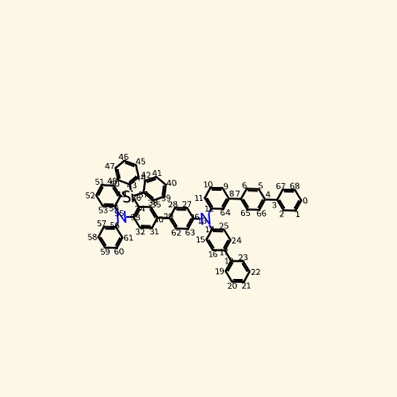 c1ccc(-c2ccc(-c3cccc(N(c4ccc(-c5ccccc5)cc4)c4ccc(-c5ccc6c(c5)[Si](c5ccccc5)(c5ccccc5)c5ccccc5N6c5ccccc5)cc4)c3)cc2)cc1